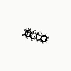 [CH2]C(=O)N(Cc1ccccc1)Cc1ccccc1